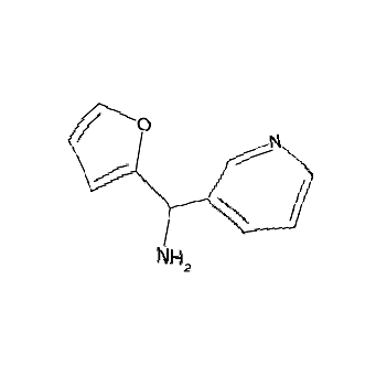 NC(c1cccnc1)c1ccco1